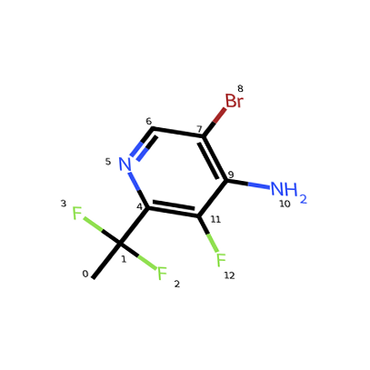 CC(F)(F)c1ncc(Br)c(N)c1F